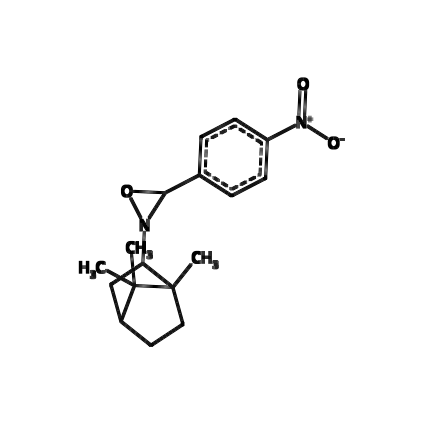 CC1(C)C2CCC1(C)C(N1OC1c1ccc([N+](=O)[O-])cc1)C2